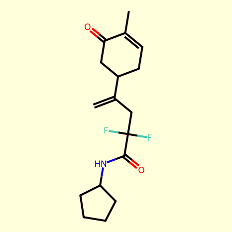 C=C(CC(F)(F)C(=O)NC1CCCC1)C1CC=C(C)C(=O)C1